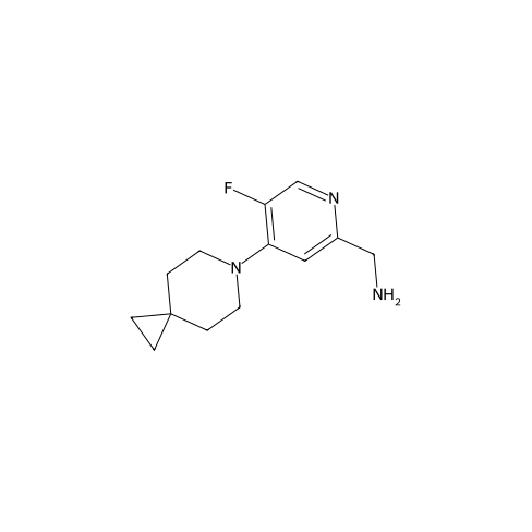 NCc1cc(N2CCC3(CC2)CC3)c(F)cn1